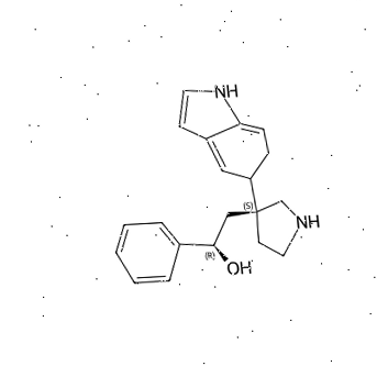 O[C@H](C[C@]1(C2C=c3cc[nH]c3=CC2)CCNC1)c1ccccc1